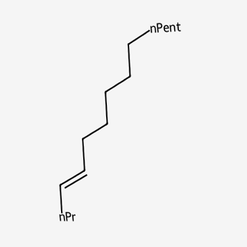 [CH2]CCC=CCCCCCCCCC[CH2]